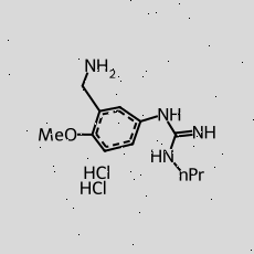 CCCNC(=N)Nc1ccc(OC)c(CN)c1.Cl.Cl